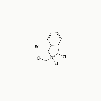 CC[N+](Cc1ccccc1)(C(C)Cl)C(C)Cl.[Br-]